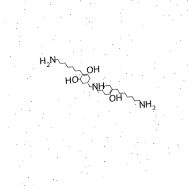 NCCCCCCCC1=C(O)C[C@@H](CNC[C@@H]2CC(O)=C(CCCCCCCN)[C@H](O)C2)CC1